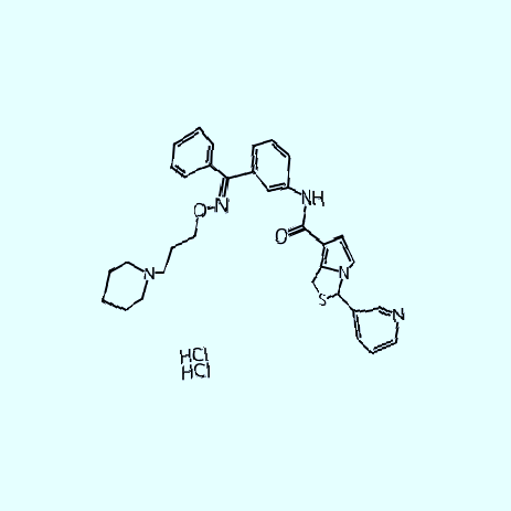 Cl.Cl.O=C(Nc1cccc(C(=NOCCCN2CCCCC2)c2ccccc2)c1)c1ccn2c1CSC2c1cccnc1